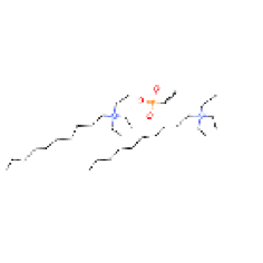 C=CP(=O)([O-])[O-].CCCCCCCCCC[N+](CC)(CC)CC.CCCCCCCCCC[N+](CC)(CC)CC